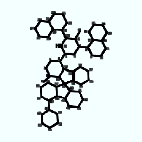 CC1CCC(C2CC(C3CCCC4CCCCC43)C(C)C(C3CCCC4CCCCC43)N2)C2C3=C(CCCC3)C3(C4CCCCC4C4C(C5CCCCC5)CCCC43)C12